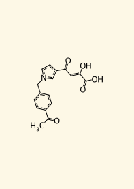 CC(=O)c1ccc(Cn2ccc(C(=O)/C=C(\O)C(=O)O)c2)cc1